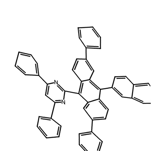 c1ccc(-c2ccc3c(-c4nc(-c5ccccc5)cc(-c5ccccc5)n4)c4cc(-c5ccccc5)ccc4c(-c4ccc5ccccc5c4)c3c2)cc1